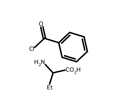 CCC(N)C(=O)O.O=C(Cl)c1ccccc1